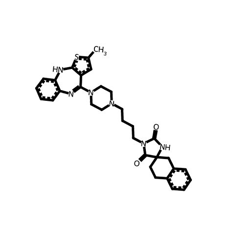 Cc1cc2c(s1)Nc1ccccc1N=C2N1CCN(CCCCN2C(=O)NC3(CCc4ccccc4C3)C2=O)CC1